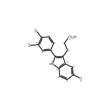 CCOC(=O)CCc1c(-c2ccc(Cl)c(Cl)c2)[nH]c2ccc(Cl)cc12